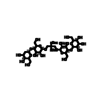 CCCCCCCCCCC(CCCCCCCCCC)(COC1OC(CO)[C@H](OC2OC(CO)[C@H](O)C(O)[C@H]2O)C(O)[C@H]1O)CO[C@H]1OC(CO)[C@H](O[C@H]2CC(O)[C@@H](O)C(CO)O2)C(O)[C@H]1O